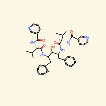 CC(C)[C@H](NC(=O)c1cccnc1)C(=O)NC(Cc1ccccc1)C(O)C(Cc1ccccc1)NC(=O)[C@@H](NC(=O)c1cccnc1)C(C)C